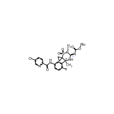 CN1/C(=N\C(=O)OC(C)(C)C)N[C@](C)(c2cc(NC(=O)c3ccc(Cl)cn3)ccc2F)C2(CC2)S1(=O)=O